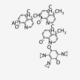 Cc1ccnc2c([O-])ccc(C)c12.Cc1ccnc2c([O-])ccc(C)c12.Cc1ccnc2c([O-])ccc(C)c12.O=C1C=C(N2CC2)C(=O)C(N2CC2)=C1N1CC1.[Al+3]